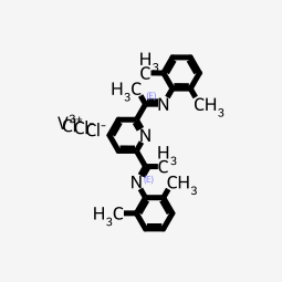 C/C(=N\c1c(C)cccc1C)c1cccc(/C(C)=N/c2c(C)cccc2C)n1.[Cl-].[Cl-].[Cl-].[V+3]